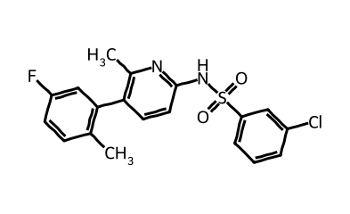 Cc1ccc(F)cc1-c1ccc(NS(=O)(=O)c2cccc(Cl)c2)nc1C